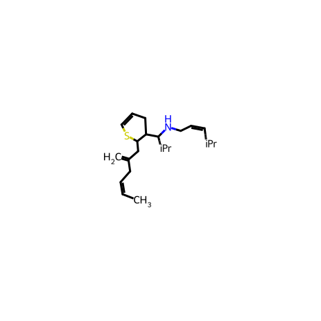 C=C(C/C=C\C)CC1SC=CCC1C(NC/C=C\C(C)C)C(C)C